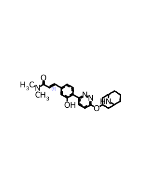 CN(C)C(=O)/C=C/c1ccc(-c2ccc(OC3CC4CCCC(C3)N4)nn2)c(O)c1